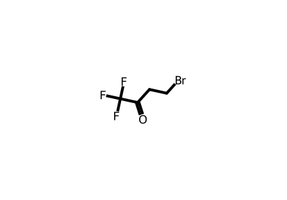 O=C(CCBr)C(F)(F)F